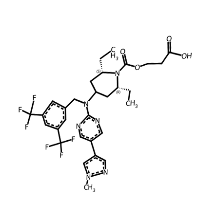 CC[C@@H]1CC(N(Cc2cc(C(F)(F)F)cc(C(F)(F)F)c2)c2ncc(-c3cnn(C)c3)cn2)C[C@H](CC)N1C(=O)OCCC(=O)O